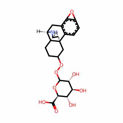 O=C(O)[C@H]1OC(OOC2CC[C@H]3[C@H]4Cc5c(ccc6c5O6)[C@@]3(CCN4)C2)[C@H](O)[C@@H](O)[C@@H]1O